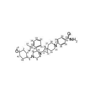 COC1CCC(CN2CCN(C3CC4(CCN(c5ccc(C(N)=O)cc5)CC4)C3)C(c3ccccc3C(C)C)C2)CC1